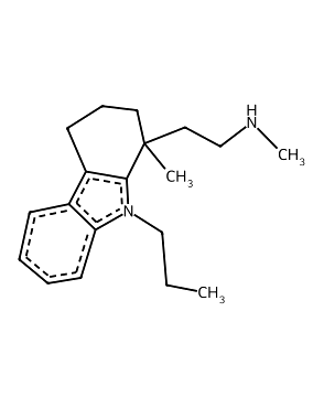 CCCn1c2c(c3ccccc31)CCCC2(C)CCNC